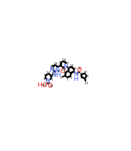 Cc1ccc2c(NC(=O)[C@@H]3CCC(C)C3)cccc2c1Oc1ncccc1-c1ccnc(N[C@H]2CCCN(C(=O)O)C2)n1